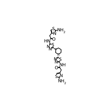 Nc1nc(CC(=O)Nc2nnc([C@H]3CCC[C@H](c4nnc(NC(=O)Cc5csc(N)n5)s4)C3)s2)cs1